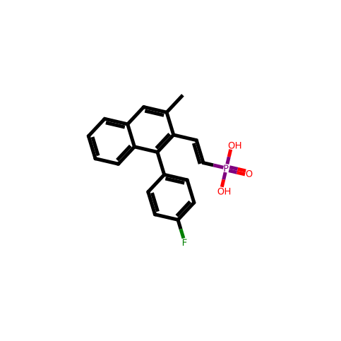 Cc1cc2ccccc2c(-c2ccc(F)cc2)c1/C=C/P(=O)(O)O